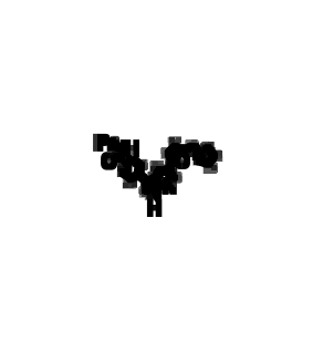 CC(C)NC(=O)N1CC=C(c2c[nH]c3ncc(-c4ccc(CN5CCCC5)o4)cc23)CC1